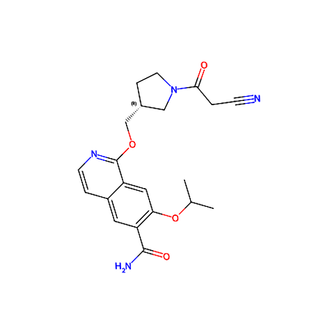 CC(C)Oc1cc2c(OC[C@@H]3CCN(C(=O)CC#N)C3)nccc2cc1C(N)=O